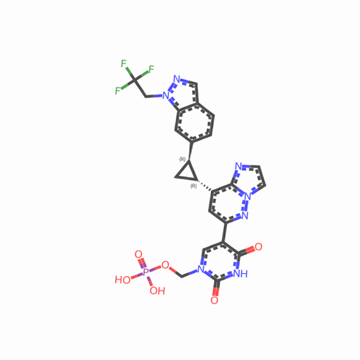 O=c1[nH]c(=O)n(COP(=O)(O)O)cc1-c1cc([C@@H]2C[C@H]2c2ccc3cnn(CC(F)(F)F)c3c2)c2nccn2n1